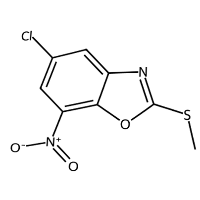 CSc1nc2cc(Cl)cc([N+](=O)[O-])c2o1